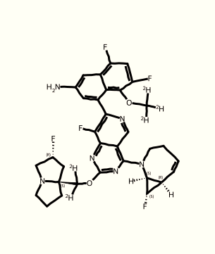 [2H]C([2H])([2H])Oc1c(F)cc(F)c2cc(N)cc(-c3ncc4c(N5CCC=C[C@H]6[C@H](F)[C@H]65)nc(OC([2H])([2H])[C@@]56CCCN5C[C@H](F)C6)nc4c3F)c12